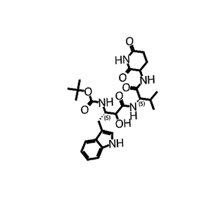 CC(C)[C@H](NC(=O)C(O)[C@H](Cc1c[nH]c2ccccc12)NC(=O)OC(C)(C)C)C(=O)NC1CCC(=O)NC1=O